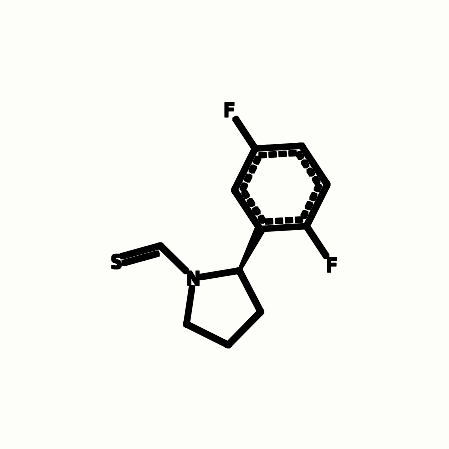 Fc1ccc(F)c([C@H]2CCCN2C=S)c1